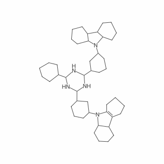 C1CCC(C2NC(C3CCCC(N4C5=C(CCCC5)C5CCCCC54)C3)NC(C3CCCC(N4C5CCCCC5C5CCCCC54)C3)N2)CC1